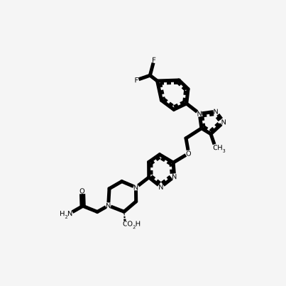 Cc1nnn(-c2ccc(C(F)F)cc2)c1COc1ccc(N2CCN(CC(N)=O)[C@@H](C(=O)O)C2)nn1